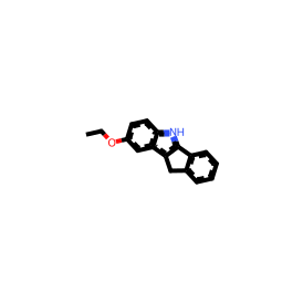 CCOc1ccc2[nH]c3c(c2c1)Cc1ccccc1-3